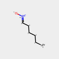 CCCCCCCC=[NH+][O-]